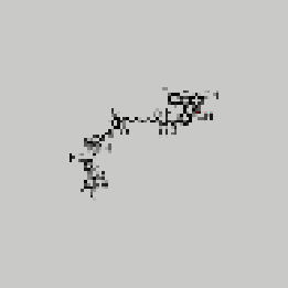 Cc1cn([C@H]2C[C@@H](O)[C@@H](COP(=O)(O)OCCSC3CC(=O)N(CCCCCCC(=O)NNC(=O)c4ccc(C(=O)O)c(-c5c6ccc(=O)cc-6oc6cc(O)ccc56)c4)C3=O)O2)c(=O)[nH]c1=O